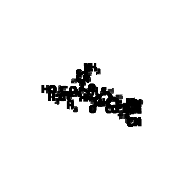 CC(C)(ON=C(C(=O)NC1C(=O)N2C(C(=O)O)=C(CSc3nnnn3CC#N)CS[C@@H]12)c1csc(N)n1)C(=O)O